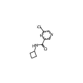 O=C(NC1CCC1)c1cncc(Cl)n1